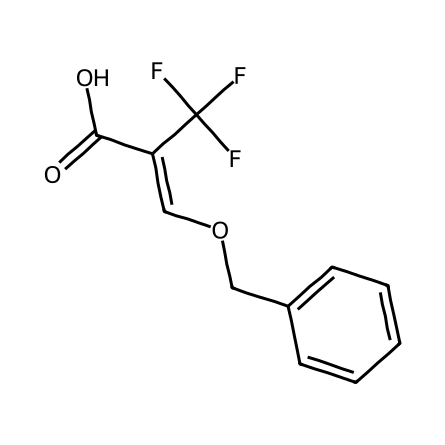 O=C(O)C(=COCc1ccccc1)C(F)(F)F